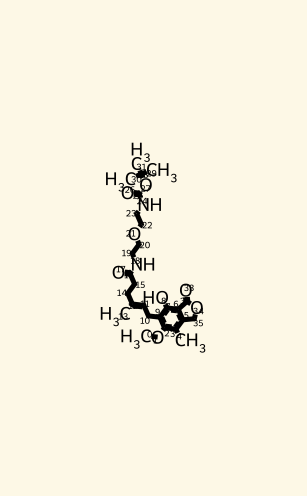 COc1c(C)c2c(c(O)c1C/C=C(\C)CCC(=O)NCCOCCNC(=O)OC(C)(C)C)C(=O)OC2